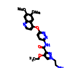 COc1cc2nccc(Oc3ccc(NC(=O)c4nn(CCN)cc4OCC(F)(F)F)nn3)c2cc1OC